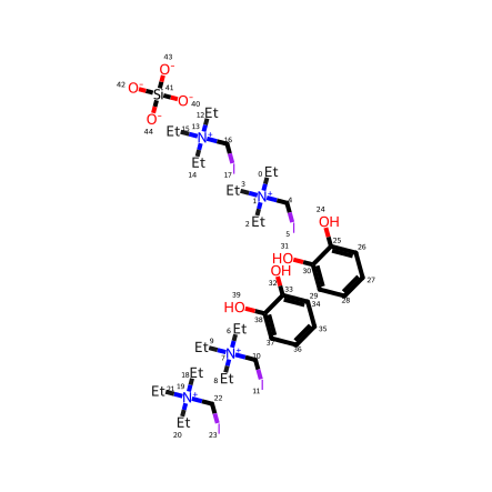 CC[N+](CC)(CC)CI.CC[N+](CC)(CC)CI.CC[N+](CC)(CC)CI.CC[N+](CC)(CC)CI.Oc1ccccc1O.Oc1ccccc1O.[O-][Si]([O-])([O-])[O-]